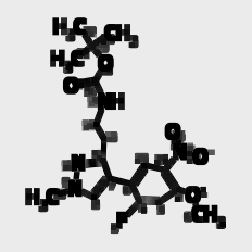 COc1cc(F)c(-c2cn(C)nc2CCNC(=O)OC(C)(C)C)cc1[N+](=O)[O-]